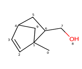 CC12C=CC(CC1CO)C2